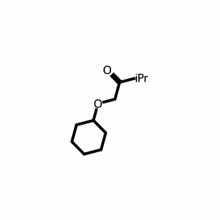 CC(C)C(=O)COC1CCCCC1